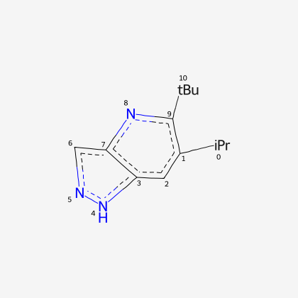 CC(C)c1cc2[nH]ncc2nc1C(C)(C)C